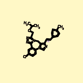 Cc1ccc(/C=C/c2ncn3c2Cn2c(COC(C)C)nnc2-c2cc(Cl)ccc2-3)cc1